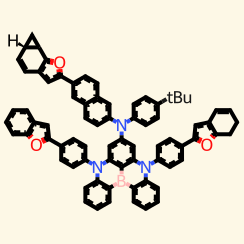 CC(C)(C)c1ccc(N(c2cc3c4c(c2)N(c2ccc(-c5cc6ccccc6o5)cc2)c2ccccc2B4c2ccccc2N3c2ccc(-c3cc4c(o3)CCC=C4)cc2)c2ccc3cc(-c4cc5c(o4)C4C[C@H]4C=C5)ccc3c2)cc1